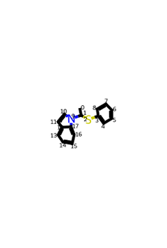 CC(Sc1ccccc1)n1c[c]c2ccccc21